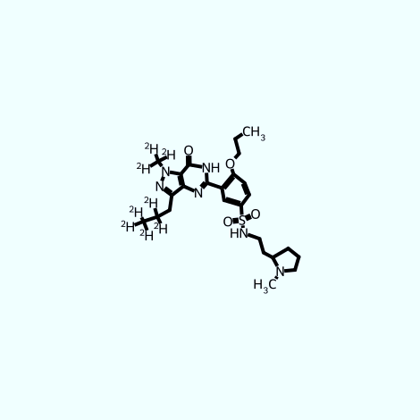 [2H]C([2H])([2H])n1nc(CC([2H])([2H])C([2H])([2H])[2H])c2nc(-c3cc(S(=O)(=O)NCCC4CCCN4C)ccc3OCCC)[nH]c(=O)c21